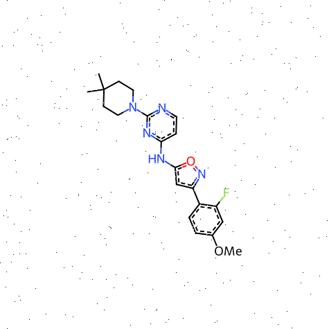 COc1ccc(-c2cc(Nc3ccnc(N4CCC(C)(C)CC4)n3)on2)c(F)c1